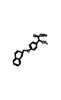 COC(=O)C(C)c1ccc(OCc2ccc3ccccc3c2)cc1